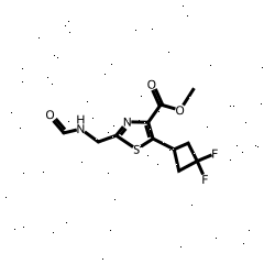 COC(=O)c1nc(CNC=O)sc1C1CC(F)(F)C1